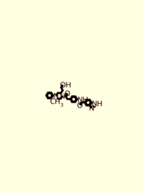 Cc1ccccc1N1CCN(C(=O)Cc2ccc(NC(=O)c3ccc4[nH]cnc4c3)cc2)C(CCO)C1